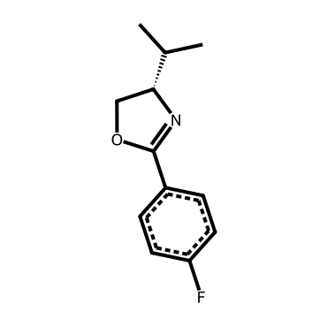 CC(C)[C@H]1COC(c2ccc(F)cc2)=N1